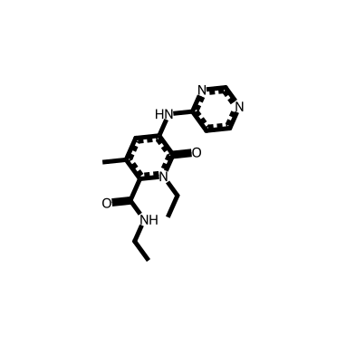 CCNC(=O)c1c(C)cc(Nc2ccncn2)c(=O)n1CC